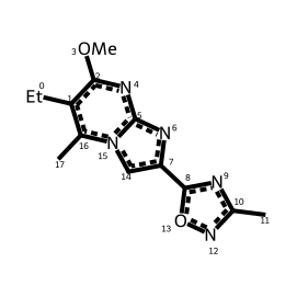 CCc1c(OC)nc2nc(-c3nc(C)no3)cn2c1C